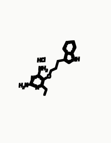 CCc1nc(N)nc(N)c1OCCCc1c[nH]c2ccccc12.Cl